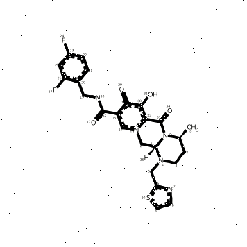 C[C@H]1CCN(Cc2nccs2)[C@@H]2Cn3cc(C(=O)[N]Cc4ccc(F)cc4F)c(=O)c(O)c3C(=O)N12